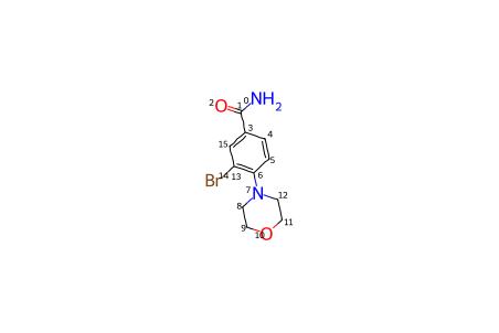 NC(=O)c1ccc(N2CCOCC2)c(Br)c1